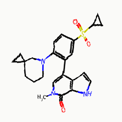 Cn1cc(-c2cc(S(=O)(=O)C3CC3)ccc2N2CCCC3(CC3)C2)c2cc[nH]c2c1=O